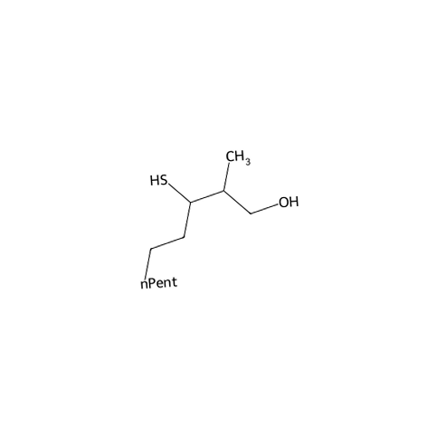 CCCCCCCC(S)C(C)CO